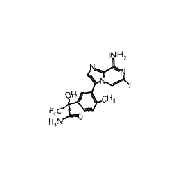 Cc1ccc(C(O)(C(N)=O)C(F)(F)F)cc1-c1cnc2c(N)nc(I)cn12